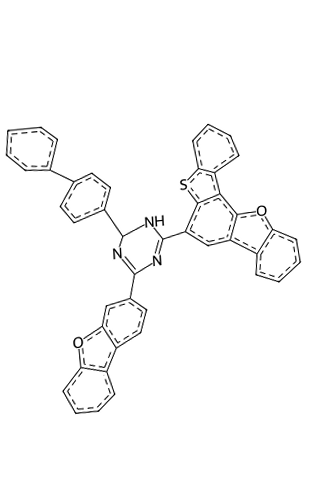 c1ccc(-c2ccc(C3N=C(c4ccc5c(c4)oc4ccccc45)N=C(c4cc5c6ccccc6oc5c5c4sc4ccccc45)N3)cc2)cc1